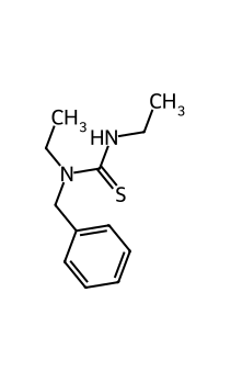 CCNC(=S)N(CC)Cc1ccccc1